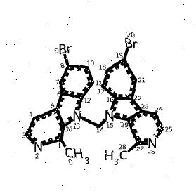 Cc1nccc2c3cc(Br)ccc3n(Cn3c4ccc(Br)cc4c4ccnc(C)c43)c12